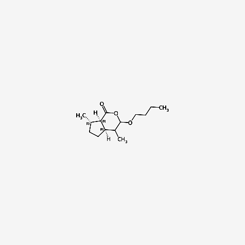 CCCCOC1OC(=O)[C@H]2[C@H](CC[C@@H]2C)C1C